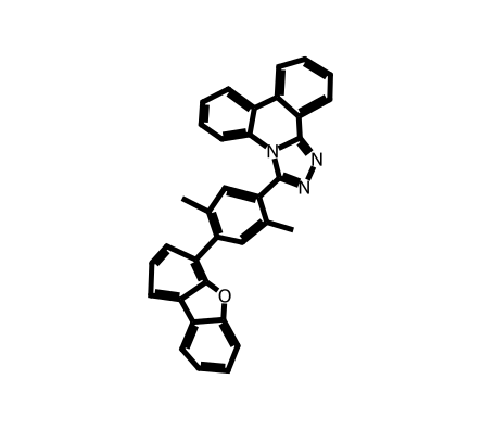 Cc1cc(-c2nnc3c4ccccc4c4ccccc4n23)c(C)cc1-c1cccc2c1oc1ccccc12